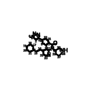 Cn1cc(-c2ccc(C(=O)N(c3cc(C=Cc4ccccc4)ccn3)[C@@H]3CCCNC3)cc2)nn1